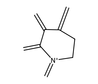 C=C1CC[N+](=C)C(=C)C1=C